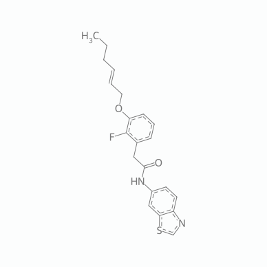 CCC/C=C/COc1cccc(CC(=O)Nc2ccc3ncsc3c2)c1F